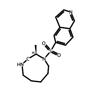 C[C@@H]1CNCCCCCN1S(=O)(=O)c1ccc2cnccc2c1